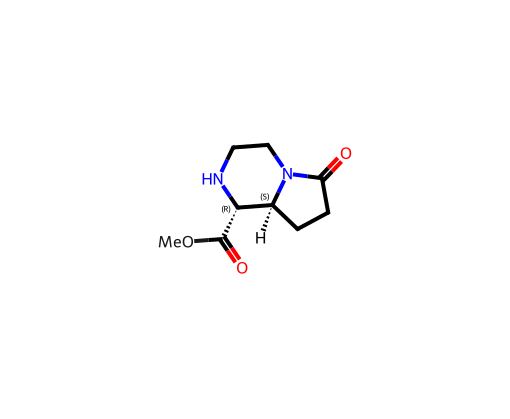 COC(=O)[C@@H]1NCCN2C(=O)CC[C@@H]12